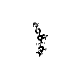 Cc1nc2c(F)cc(NC(=O)c3ccc(N4CCN(C(=O)OC(C)(C)C)CC4)c4cn(C)nc34)cn2c1C